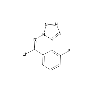 Fc1cccc2c(Cl)nn3nnnc3c12